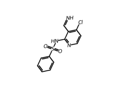 N=Cc1c(Cl)ccnc1NS(=O)(=O)c1ccccc1